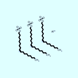 CCCCCCCC/C=C\CCCCCCCCOS(=O)(=O)[O-].CCCCCCCC/C=C\CCCCCCCCOS(=O)(=O)[O-].CCCCCCCC/C=C\CCCCCCCCOS(=O)(=O)[O-].[Al+3]